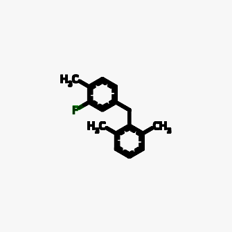 Cc1ccc(Cc2c(C)cccc2C)cc1F